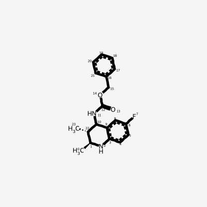 C[C@@H]1Nc2ccc(F)cc2C(NC(=O)OCc2ccccc2)[C@H]1C